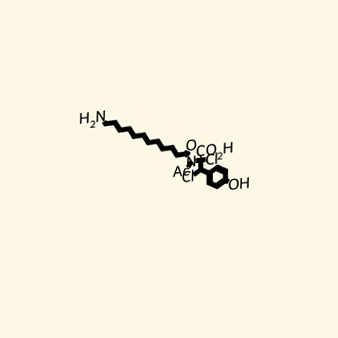 CC(=O)N(C(=O)CCCCCCCCCCCN)[C@](Cl)(C(=O)O)C(Cl)c1ccc(O)cc1